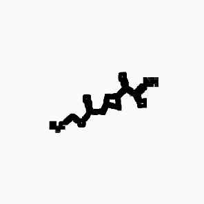 CCOC(=O)CC1CC(C(=O)C(=N)Cl)C1